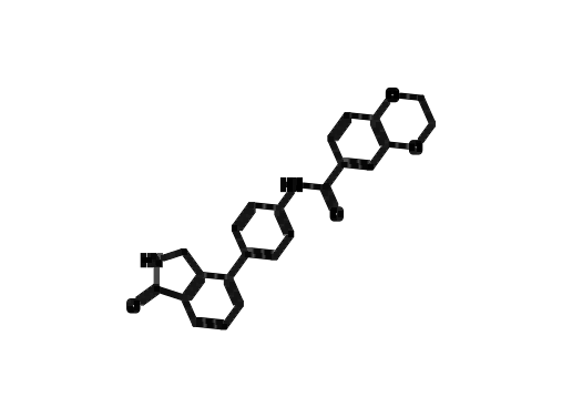 O=C(Nc1ccc(-c2cccc3c2CNC3=O)cc1)c1ccc2c(c1)OCCO2